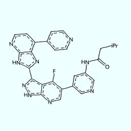 CC(C)CC(=O)Nc1cncc(-c2cnc3[nH]nc(-c4nc5c(-c6ccncc6)ccnc5[nH]4)c3c2F)c1